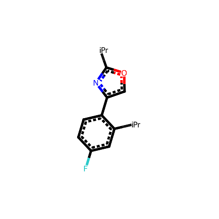 CC(C)c1nc(-c2ccc(F)cc2C(C)C)co1